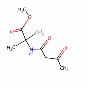 COC(=O)C(C)(C)NC(=O)CC(C)=O